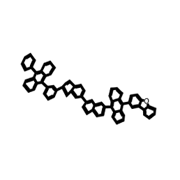 c1ccc(-c2c3ccccc3c(-c3cccc(-c4ccc5ccc(-c6ccc7ccc(-c8c9ccccc9c(-c9ccc%10oc%11ccccc%11c%10c9)c9ccccc89)cc7c6)cc5c4)c3)c3ccccc23)cc1